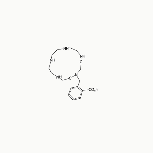 O=C(O)c1ccccc1CN1CCNCCNCCNCCNCC1